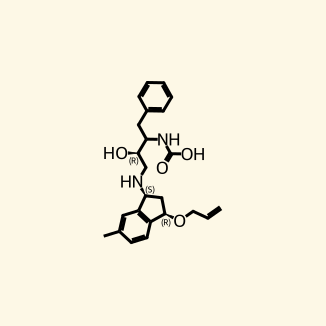 C=CCO[C@@H]1C[C@H](NC[C@@H](O)C(Cc2ccccc2)NC(=O)O)c2cc(C)ccc21